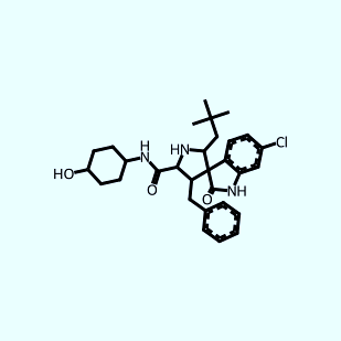 CC(C)(C)CC1NC(C(=O)NC2CCC(O)CC2)C(Cc2ccccc2)C12C(=O)Nc1cc(Cl)ccc12